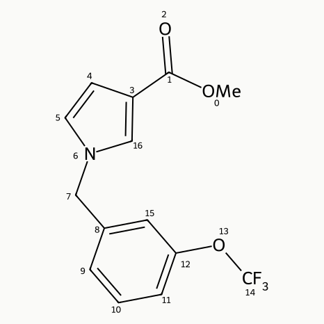 COC(=O)c1ccn(Cc2cccc(OC(F)(F)F)c2)c1